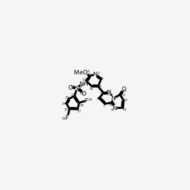 COc1ncc(-c2ccc3nccc(=O)n3n2)cc1NS(=O)(=O)c1ccc(F)cc1F